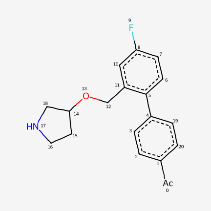 CC(=O)c1ccc(-c2ccc(F)cc2COC2CCNC2)cc1